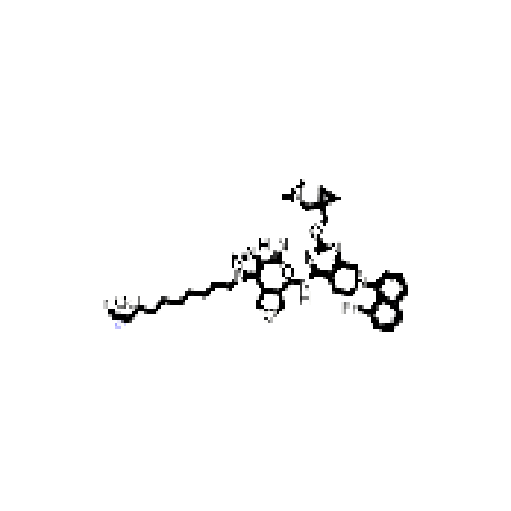 CCCCCCCC/C=C\CCCCCCCCn1nnc(C(N)=O)c1C1COCC1CNc1nc(OCC2(CN(C)C)CC2)nc2c1CCN(c1cccc3cccc(CC)c13)C2